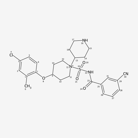 Cc1cc(Cl)ccc1OC1CC[N+](C2CCNCC2)(S(=O)(=O)NC(=O)c2cccc(C#N)c2)CC1